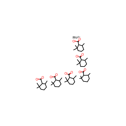 CC1CCCC(C)(C)C1C(=O)[O-].CC1CCCC(C)(C)C1C(=O)[O-].CC1CCCC(C)(C)C1C(=O)[O-].CC1CCCC(C)(C)C1C(=O)[O-].CC1CCCC(C)(C)C1C(=O)[O-].CC1CCCC(C)(C)C1C(=O)[O-].[Mo+6]